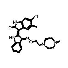 Cc1cc2c(cc1Cl)NC(=O)/C2=C1\Nc2ccccc2\C1=N/OCCN1CCN(C)CC1